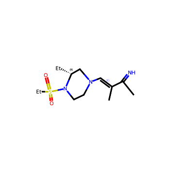 CC[C@@H]1CN(/C=C(\C)C(C)=N)CCN1S(=O)(=O)CC